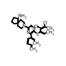 C=C/C=C\C(=C/C)c1nc(N2CCC3(CCC[C@H]3N)CC2)cnc1SC(=C/C)/C(Cl)=C(\C)Cl